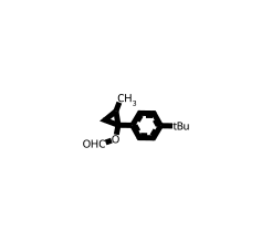 CC1CC1(OC=O)c1ccc(C(C)(C)C)cc1